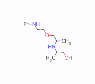 CC(C)NCCOCC(C)NC(C)CO